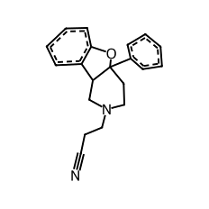 N#CCCN1CCC2(c3ccccc3)Oc3ccccc3C2C1